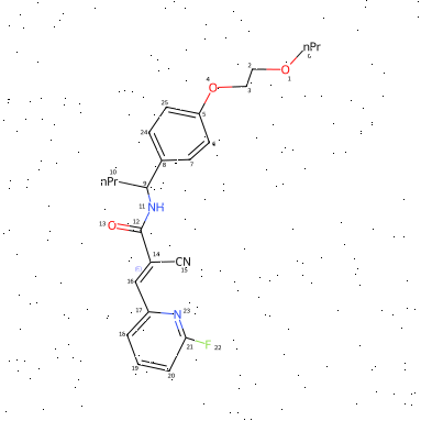 CCCOCCOc1ccc(C(CCC)NC(=O)/C(C#N)=C/c2cccc(F)n2)cc1